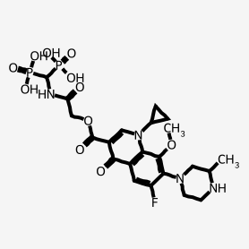 COc1c(N2CCNC(C)C2)c(F)cc2c(=O)c(C(=O)OCC(=O)NC(P(=O)(O)O)P(=O)(O)O)cn(C3CC3)c12